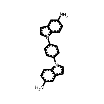 Nc1ccc2c(ccn2-c2ccc(-n3ccc4cc(N)ccc43)cc2)c1